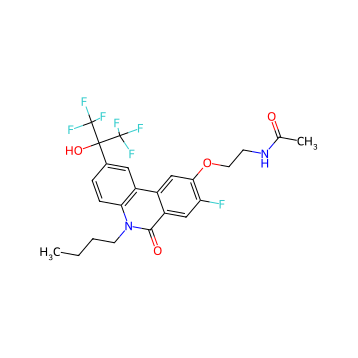 CCCCn1c(=O)c2cc(F)c(OCCNC(C)=O)cc2c2cc(C(O)(C(F)(F)F)C(F)(F)F)ccc21